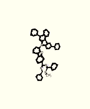 C=N/C(=N\C(=N/Cc1ccccc1)c1ccc2c(c1)oc1c(-n3c4ccc(-c5ccccc5)cc4c4c5ccccc5c(-c5ccccc5)cc43)cccc12)c1ccccc1